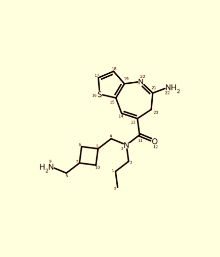 CCCN(CC1CC(CN)C1)C(=O)C1=Cc2sccc2N=C(N)C1